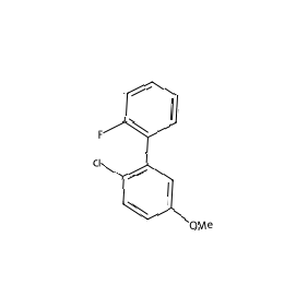 COc1ccc(Cl)c(-c2ccc[c]c2F)c1